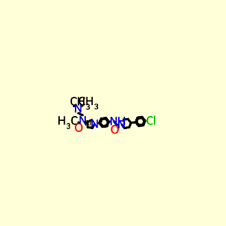 CCN(CC)CCN(C(C)=O)[C@@H]1CCN(c2ccc(NC(=O)N3CCC(c4ccc(Cl)cc4)CC3)cc2)C1